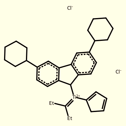 CC[C](CC)=[Ti+2]([C]1=CC=CC1)[CH]1c2ccc(C3CCCCC3)cc2-c2cc(C3CCCCC3)ccc21.[Cl-].[Cl-]